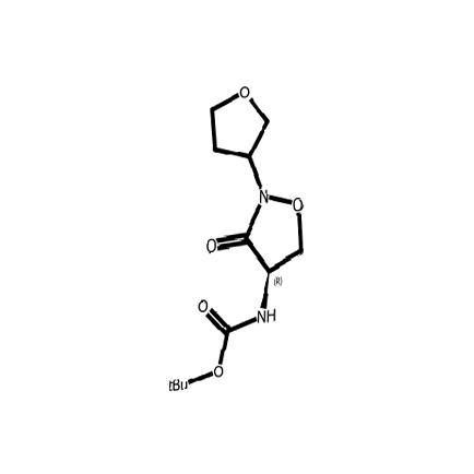 CC(C)(C)OC(=O)N[C@@H]1CON(C2CCOC2)C1=O